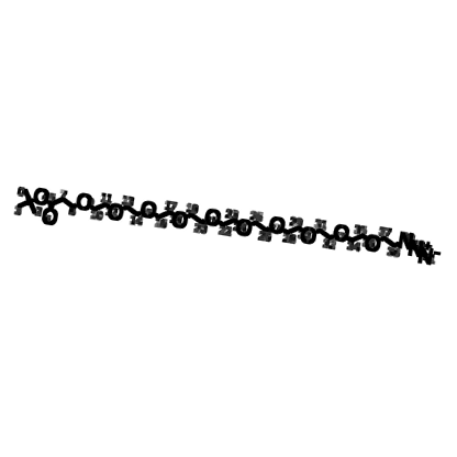 CC(C)(C)OC(=O)CCOCCOCCOCCOCCOCCOCCOCCOCCOCCOCCN=[N+]=[N-]